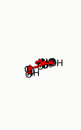 CC(C)(C)[C@H](NC(=O)C1=Cc2cc(C(F)(F)P(=O)(O)O)ccc2C1)C(=O)N1C[C@@H](OCCCCCCC#Cc2cccc3c2CN(C2CCC(=O)NC2=O)C3=O)C[C@H]1C(=O)N1CCCC(c2ccccc2)C1